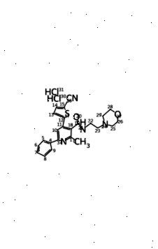 Cc1nc(-c2ccccc2)cc(-c2ccc(C#N)s2)c1C(=O)NCCN1CCOCC1.Cl.Cl